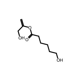 C=C(CO)OC(=O)CCCCCO